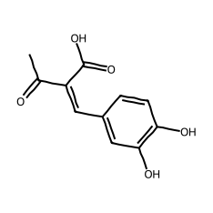 CC(=O)C(=Cc1ccc(O)c(O)c1)C(=O)O